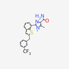 Cc1c(C(N)=O)nc(-c2cccc3cc(Cc4cccc(C(F)(F)F)c4)sc23)n1C